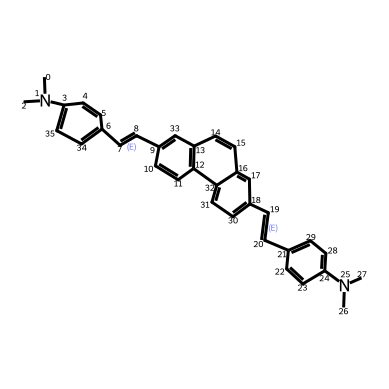 CN(C)c1ccc(/C=C/c2ccc3c(ccc4cc(/C=C/c5ccc(N(C)C)cc5)ccc43)c2)cc1